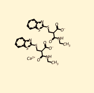 CCNC(=O)C(CSc1nc2ccccc2s1)C(=O)[O-].CCNC(=O)C(CSc1nc2ccccc2s1)C(=O)[O-].[Ca+2]